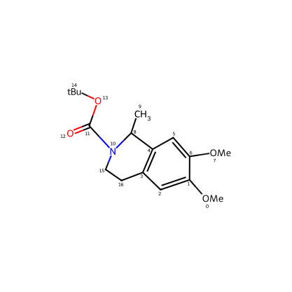 COc1cc2c(cc1OC)C(C)N(C(=O)OC(C)(C)C)CC2